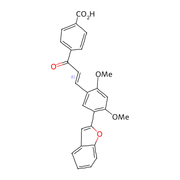 COc1cc(OC)c(-c2cc3ccccc3o2)cc1/C=C/C(=O)c1ccc(C(=O)O)cc1